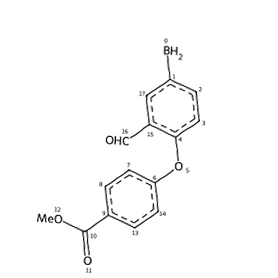 Bc1ccc(Oc2ccc(C(=O)OC)cc2)c(C=O)c1